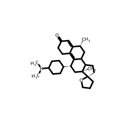 C[C@@H]1CC2C(=C3CCC(=O)C=C31)[C@@H](C1CCC(N(C)C)CC1)C[C@@]1(C)C2CC[C@@]12CCCO2